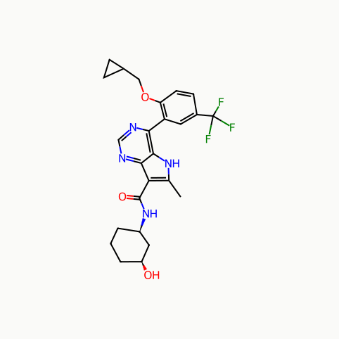 Cc1[nH]c2c(-c3cc(C(F)(F)F)ccc3OCC3CC3)ncnc2c1C(=O)N[C@@H]1CCC[C@H](O)C1